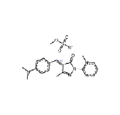 CC1=NN(c2cccc[n+]2C)C(=O)/C1=C/c1ccc(N(C)C)cc1.COS(=O)(=O)[O-]